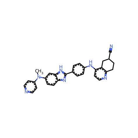 CN(c1ccncc1)c1ccc2nc(-c3ccc(Nc4ccnc5c4CC(C#N)CC5)cc3)[nH]c2c1